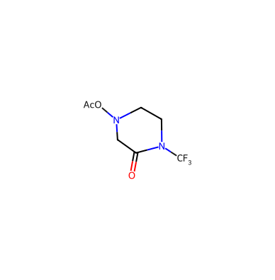 CC(=O)ON1CCN(C(F)(F)F)C(=O)C1